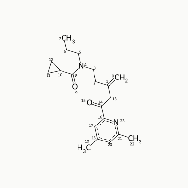 C=C(CCN(CCC)C(=O)C1CC1)CC(=O)c1cc(C)cc(C)n1